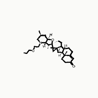 CCCOCCN1C[C@@H](C)C[C@H]2O[C@]3(CC[C@H]4[C@@H]5CCC6=CC(=O)CC[C@]6(C)[C@H]5CC45CC53C)[C@H](C)[C@@H]21